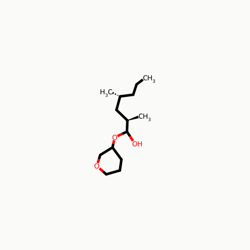 CCC[C@@H](C)C[C@@H](C)C(O)OC1CCCOC1